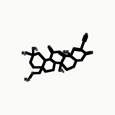 COCC12CCC3C(C(=O)C=C4C5(C)C=C(C#N)C(=O)CC5CCC43C)C1CC(C)(C)CC2